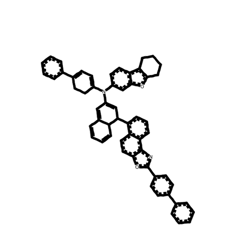 C1=CC2=CC(N(C3=CC=C(c4ccccc4)CC3)c3ccc4c5c(oc4c3)CCCC5)=CC(c3cccc4c3ccc3oc(-c5ccc(-c6ccccc6)cc5)nc34)C2C=C1